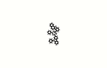 c1ccc(-c2nc(-c3ccc4c5ccccc5n(-c5ccccc5)c4c3)nc(-c3cccc4sc5c6ccccc6ccc5c34)n2)cc1